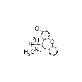 [2H]C1([2H])C2=C(CN1C)c1ccccc1Oc1ccc(Cl)cc12